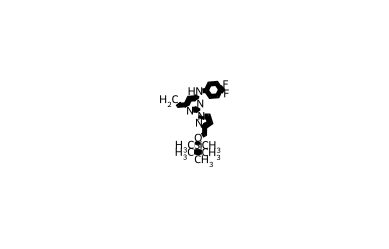 C=Cc1cc(NC2CCC(F)(F)CC2)nc(-n2ccc(CO[Si](C)(C)C(C)(C)C)n2)n1